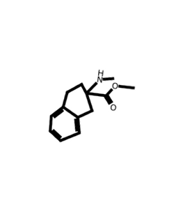 CNC1(C(=O)OC)CCc2ccccc2C1